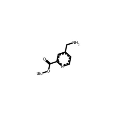 CC(C)(C)OC(=O)c1cc(CN)ccn1